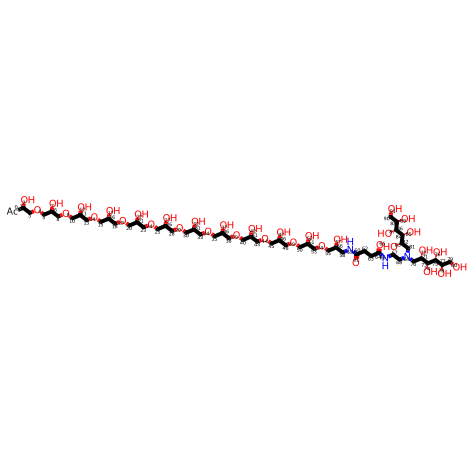 CC(=O)C(O)COCC(O)COCC(O)COCC(O)COCC(O)COCC(O)COCC(O)COCC(O)COCC(O)COCC(O)COCC(O)COCC(O)CNC(=O)CCC(=O)NCCN(C[C@H](O)[C@@H](O)[C@H](O)[C@H](O)CO)C[C@H](O)[C@@H](O)[C@H](O)[C@H](O)CO